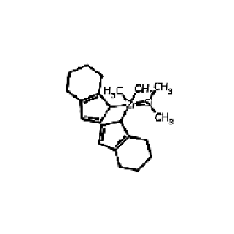 C[Si](C)=[Zr]([CH3])([CH3])([CH]1C=CC2=C1CCCC2)[CH]1C=CC2=C1CCCC2